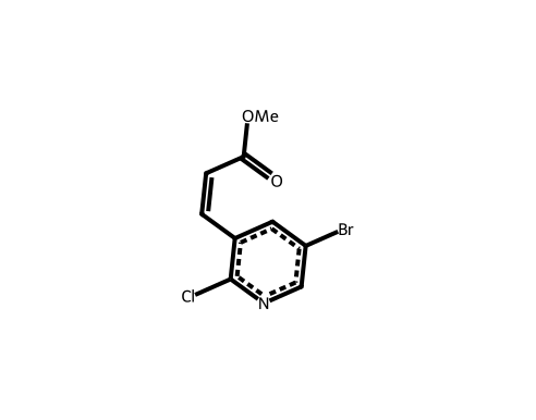 COC(=O)/C=C\c1cc(Br)cnc1Cl